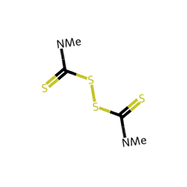 CNC(=S)SSC(=S)NC